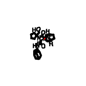 O=C(CN1[C@@H]2CC[C@H]1C[C@H](CC(=O)NC13CC4CC(CC1C4)C3)C2)NC1(CO)CCCC1